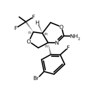 CC(F)(F)[C@H]1OC[C@]2(c3cc(Br)ccc3F)N=C(N)OC[C@H]12